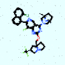 Fc1c(-c2cccc3cccc(Cl)c23)ncc2c(N3C[C@H]4CC[C@@H](C3)N4)nc(OC[C@@]34CCCN3C[C@@H](C(F)(F)F)C4)nc12